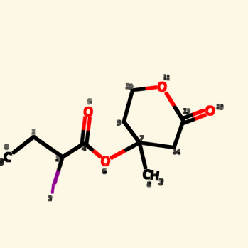 CCC(I)C(=O)OC1(C)CCOC(=O)C1